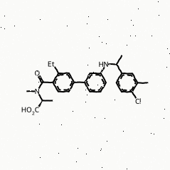 CCc1cc(-c2cccc(NC(C)c3ccc(Cl)c(C)c3)c2)ccc1C(=O)N(C)[C@@H](C)C(=O)O